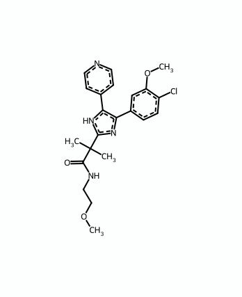 COCCNC(=O)C(C)(C)c1nc(-c2ccc(Cl)c(OC)c2)c(-c2ccncc2)[nH]1